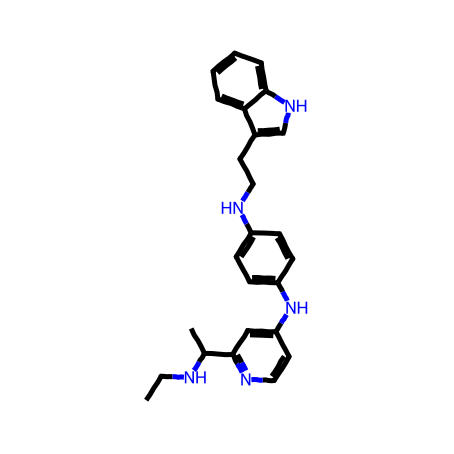 CCNC(C)c1cc(Nc2ccc(NCCc3c[nH]c4ccccc34)cc2)ccn1